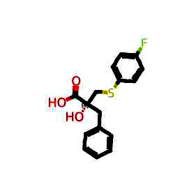 O=C(O)[C@@](O)(CSc1ccc(F)cc1)Cc1ccccc1